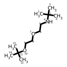 CC(C)(C)NCCOCCOC(C)(C)C